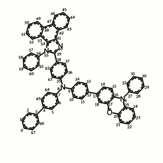 c1ccc(-c2ccc(N(c3ccc(-c4ccc5c(c4)Oc4ccccc4N5c4ccccc4)cc3)c3ccc(-c4nc5c6ccccc6c6ccccc6c5n4-c4ccccc4)cc3)cc2)cc1